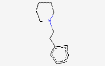 [c]1ccccc1CCN1CCCCC1